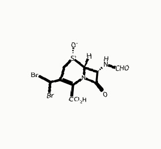 O=CN[C@@H]1C(=O)N2C(C(=O)O)=C(C(Br)Br)C[S@+]([O-])[C@H]12